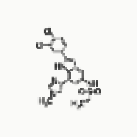 C=CS(=O)(=O)Nc1cc(-c2cn(C)cn2)c2[nH]c(-c3ccc(Cl)c(Cl)c3)cc2c1